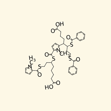 Cn1cccc1C(=O)SCCC(CCCCC(=O)O)SC(=O)c1ccc(C(CCCC(=O)O)C(CCSC(=O)c2ccccc2)SC(=O)c2ccccc2)n1C